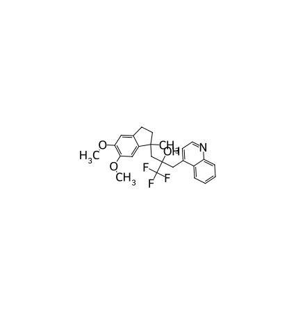 COc1cc2c(cc1OC)C(C)(CC(O)(Cc1ccnc3ccccc13)C(F)(F)F)CC2